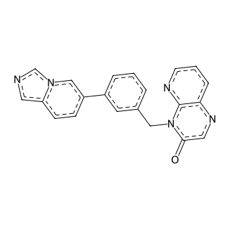 O=c1cnc2cccnc2n1Cc1cccc(-c2ccc3cncn3c2)c1